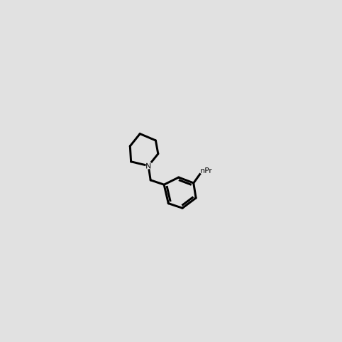 CCCc1cccc(CN2CCCCC2)c1